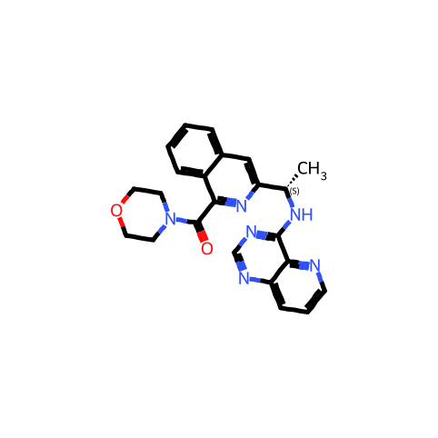 C[C@H](Nc1ncnc2cccnc12)c1cc2ccccc2c(C(=O)N2CCOCC2)n1